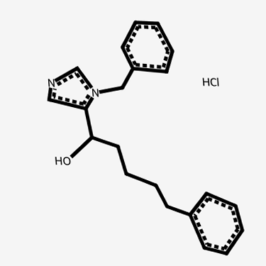 Cl.OC(CCCCc1ccccc1)c1cncn1Cc1ccccc1